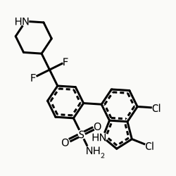 NS(=O)(=O)c1ccc(C(F)(F)C2CCNCC2)cc1-c1ccc(Cl)c2c(Cl)c[nH]c12